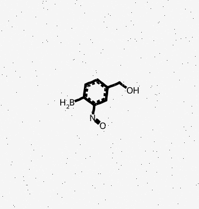 Bc1ccc(CO)cc1N=O